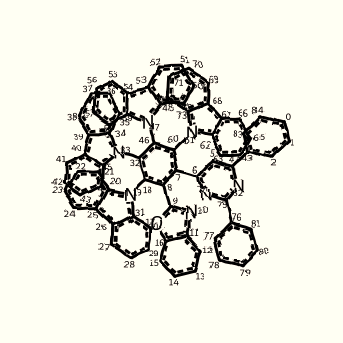 c1ccc(-c2cc(-c3c(-c4nc5ccccc5o4)c(-n4c5ccccc5c5ccccc54)c(-n4c5ccccc5c5ccccc54)c(-n4c5ccccc5c5ccccc54)c3-n3c4ccccc4c4ccccc43)nc(-c3ccccc3)n2)cc1